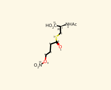 CC(=O)N[C@@H](CSC(=O)CCCO[N+](=O)[O-])C(=O)O